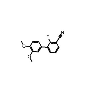 COc1ccc(-c2cccc(C#N)c2F)cc1OC